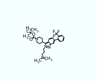 CN(C)CCCn1nc2cc(-c3ccccc3C(F)(F)F)ccc2c1C1CCN(C(=O)OC(C)(C)C)CC1